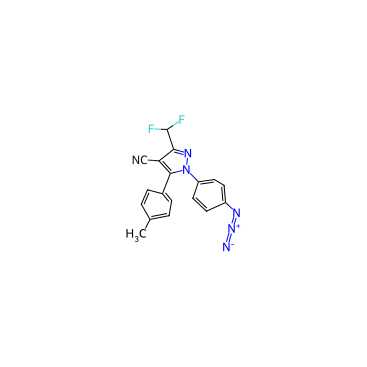 Cc1ccc(-c2c(C#N)c(C(F)F)nn2-c2ccc(N=[N+]=[N-])cc2)cc1